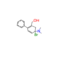 CN(C)C1(Br)C=CC(c2ccccc2)=C(CO)C1